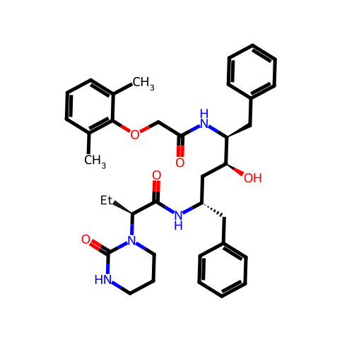 CC[C@@H](C(=O)N[C@@H](Cc1ccccc1)C[C@H](O)[C@H](Cc1ccccc1)NC(=O)COc1c(C)cccc1C)N1CCCNC1=O